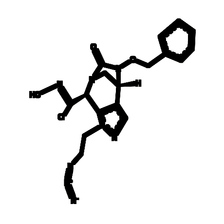 [N-]=[N+]=NCCn1ncc2c1[C@@H](/C(Cl)=N/O)N1C[C@@H]2N(OCc2ccccc2)C1=O